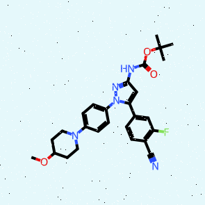 COC1CCN(c2ccc(-n3nc(NC(=O)OC(C)(C)C)cc3-c3ccc(C#N)c(F)c3)cc2)CC1